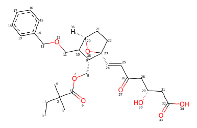 CCC(C)(C)C(=O)OC[C@@H]1C(COCc2ccccc2)[C@H]2CC[C@]1(/C=C/C(=O)C[C@@H](O)CC(=O)O)O2